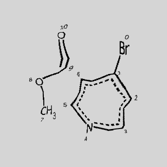 Brc1ccncc1.COC=O